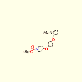 CNc1ccccc1COc1ccc(OC2CCN(C(=O)OC(C)(C)C)CC2)cc1